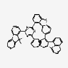 CC1(C)c2ccccc2-c2cccc(-c3nc(-c4ccccc4)nc(-c4cccc5sc6ccc(-c7cccc8c7-c7cccc9cccc-8c79)cc6c45)n3)c21